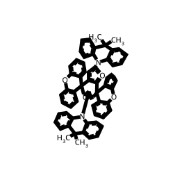 CC1(C)c2ccccc2N(c2cc3c(o2)C2(c4ccccc4Oc4ccccc42)c2cc(N4c5ccccc5C(C)(C)c5ccccc54)oc2C32c3ccccc3Oc3ccccc32)c2ccccc21